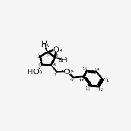 O[C@@H]1C[C@@H]2O[C@@H]2[C@H]1COCc1ccccc1